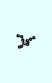 c1ccc(-c2ccc(-c3cccc4c3oc3cccc(-c5nc(-c6ccc(-c7cccc(-c8ccccc8)c7)cc6)nc(-c6ccc7ccccc7c6)n5)c34)cc2)cc1